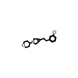 Clc1cccc(C[CH]C2C3CN(C4CCOCC4)CC23)c1